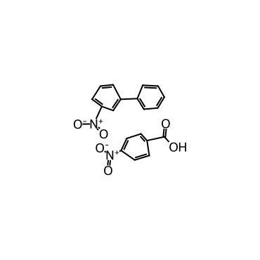 O=C(O)c1ccc([N+](=O)[O-])cc1.O=[N+]([O-])c1cccc(-c2ccccc2)c1